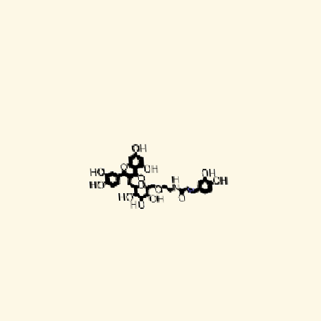 O=C(/C=C/c1ccc(O)c(O)c1)NCCOCC1OC(Cc2c(-c3ccc(O)c(O)c3)oc3cc(O)cc(O)c3c2=O)C(O)C(O)C1O